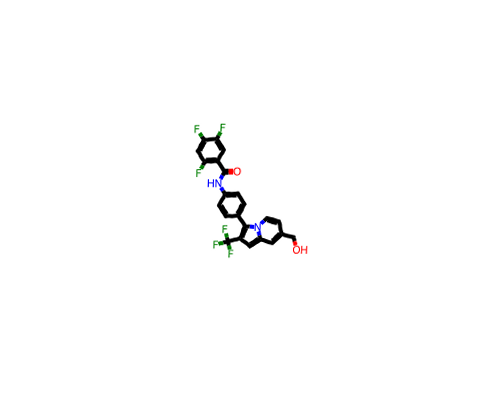 O=C(Nc1ccc(-c2c(C(F)(F)F)cc3cc(CO)ccn23)cc1)c1cc(F)c(F)cc1F